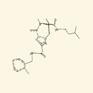 Cc1ccccc1CNC(=O)c1cc2n(n1)CC(C)(C(=O)NCCC(C)C)N(C)C2=O